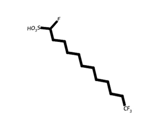 O=S(=O)(O)C(F)CCCCCCCCCCC(F)(F)F